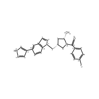 C[C@H]1C[C@@H](Cn2ncc3cc(-c4cn[nH]c4)ccc32)CN1C(=O)c1ccc(F)cc1